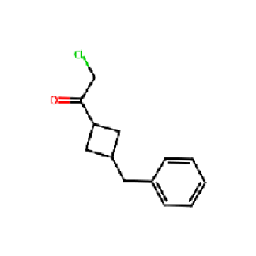 O=C(CCl)C1CC(Cc2ccccc2)C1